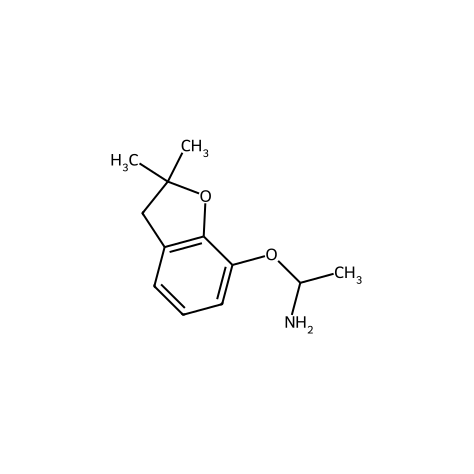 CC(N)Oc1cccc2c1OC(C)(C)C2